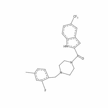 Cc1ccc(CN2CCN(C(=O)c3cc4cc(C(F)(F)F)ccc4[nH]3)CC2)c(F)c1